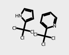 ClC(Cl)(Cl)c1ccc[nH]1.ClC(Cl)(Cl)c1ccccn1